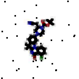 CC(C)(C)OC(=O)N1CCN(c2ccc3c(c2)-n2c(nc(=O)c4c(Cl)cccc42)C3(C)C)C[C@H]1CC#N